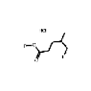 CC(CF)CCC(=O)OF.Cl